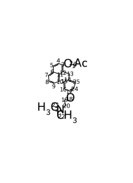 CC(=O)COc1ccc2ccccc2c1Cc1ccc(OCCN(C)C)cc1